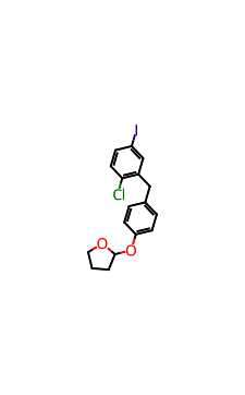 Clc1ccc(I)cc1Cc1ccc(OC2CCCO2)cc1